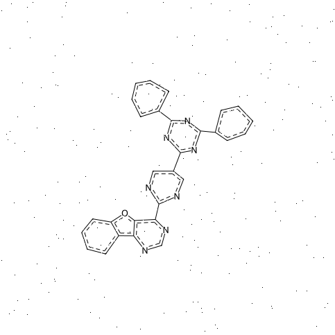 c1ccc(-c2nc(-c3ccccc3)nc(-c3cnc(-c4ncnc5c4oc4ccccc45)nc3)n2)cc1